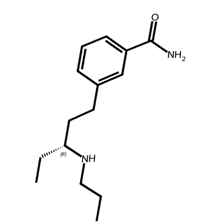 CCCN[C@H](CC)CCc1cccc(C(N)=O)c1